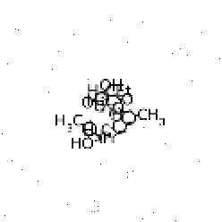 CC1CCC(C(C)C)C(O)C1.CCC(C)(C)C(=O)O[C@H]1C[C@@H](C)C=C2C=C[C@H](C)[C@H](CC[C@@H]3C[C@@H](O)CC(=O)O3)[C@H]21